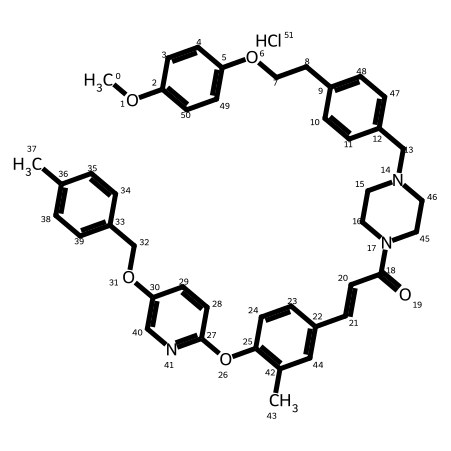 COc1ccc(OCCc2ccc(CN3CCN(C(=O)C=Cc4ccc(Oc5ccc(OCc6ccc(C)cc6)cn5)c(C)c4)CC3)cc2)cc1.Cl